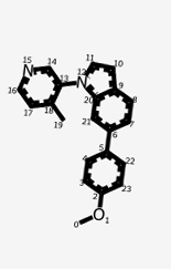 COc1ccc(-c2ccc3ccn(-c4cnccc4C)c3c2)cc1